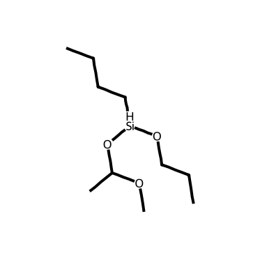 CCCC[SiH](OCCC)OC(C)OC